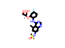 Cc1cc(N=S(C)(C)=O)cc2ncnc(Nc3ccc(F)cc3O[C@@](C)(C=O)CO)c12